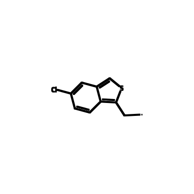 [CH2]Cc1scc2cc(Cl)ccc12